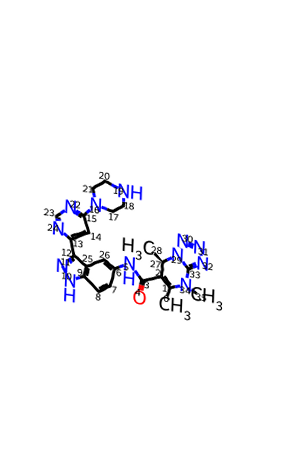 CC1=C(C(=O)Nc2ccc3[nH]nc(-c4cc(N5CCNCC5)ncn4)c3c2)[C@@H](C)n2nnnc2N1C